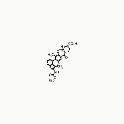 Cc1c2c(cc(Cl)c1-c1cccc3sc(NC(=O)OC(C)(C)C)c(C)c13)C(=O)N1CCN(C(=O)O)C[C@@H]1CO2